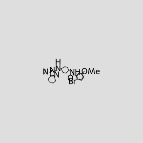 COc1ccc(Br)c(C(=O)N[C@H]2CC[C@@H](Nc3nc4c(c(N(C)C)n3)CCCC4)CC2)c1